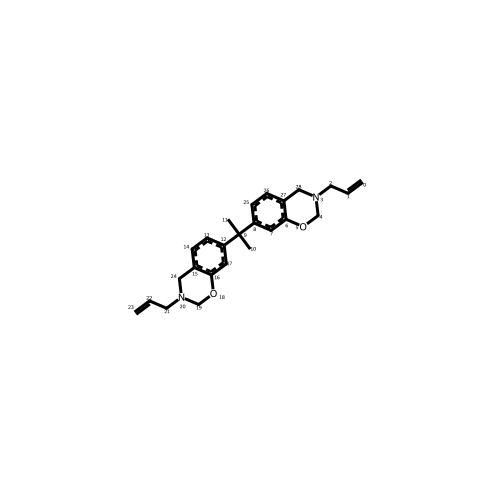 C=CCN1COc2cc(C(C)(C)c3ccc4c(c3)OCN(CC=C)C4)ccc2C1